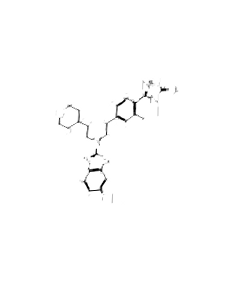 Cc1cc(CCN(CCC2CCOCC2)c2nc3ccc(C(F)(F)F)cc3s2)ccc1-c1noc(=O)[nH]1